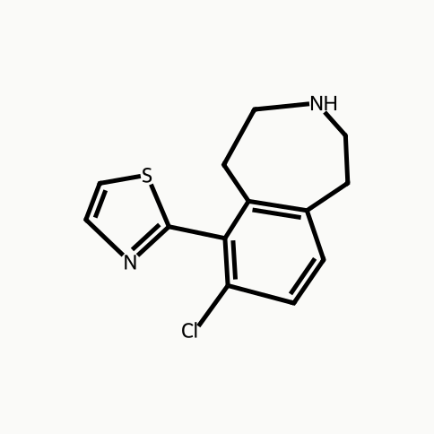 Clc1ccc2c(c1-c1nccs1)CCNCC2